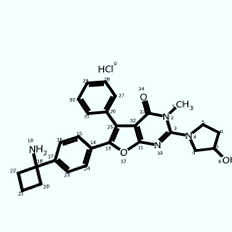 Cl.Cn1c(N2CCC(O)C2)nc2oc(-c3ccc(C4(N)CCC4)cc3)c(-c3ccccc3)c2c1=O